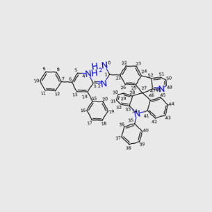 NC(/N=c1\[nH]cc(-c2ccccc2)cc1-c1ccccc1)c1ccc2c(c1)C1(c3ccccc3N(c3ccccc3)c3ccccc31)c1ncccc1-2